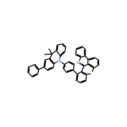 Cc1cccc(-c2ccc(N3c4ccccc4C(C)(C)c4cc(-c5ccccc5)ccc43)cc2)c1-c1nc2ccccc2c2cccc(C)c12